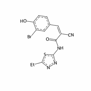 CCc1nnc(NC(=O)C(C#N)=Cc2ccc(O)c(Br)c2)s1